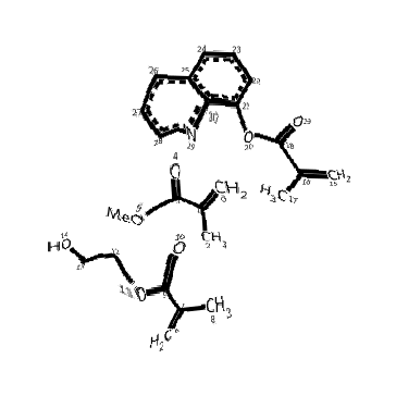 C=C(C)C(=O)OC.C=C(C)C(=O)OCCO.C=C(C)C(=O)Oc1cccc2cccnc12